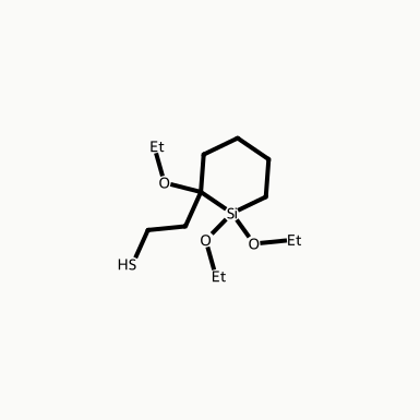 CCOC1(CCS)CCCC[Si]1(OCC)OCC